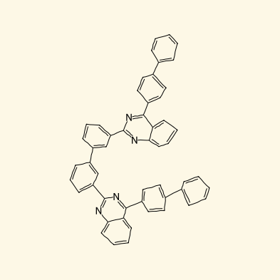 c1ccc(-c2ccc(-c3nc(-c4cccc(-c5cccc(-c6nc(-c7ccc(-c8ccccc8)cc7)c7ccccc7n6)c5)c4)nc4ccccc34)cc2)cc1